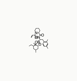 C=CC(=O)N1CCCCC1C(=O)NC(Cc1ccc(C)cc1C)B1OC2CC(C)CC(CC)[C@]2(C)O1